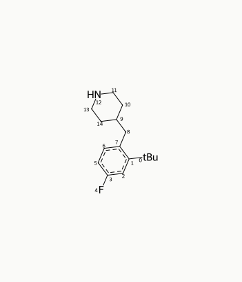 CC(C)(C)c1cc(F)ccc1CC1CCNCC1